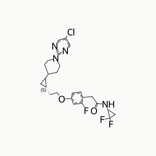 O=C(Cc1ccc(OCC[C@@H]2CC2C2CCN(c3ncc(Cl)cn3)CC2)cc1F)NC1CC1(F)F